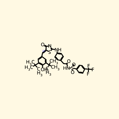 CC(C)(C)c1cc(/C=C2\SC(Nc3ccc(CC(=O)NS(=O)(=O)c4ccc(C(F)(F)F)cc4)cc3)=NC2=O)cc(C(C)(C)C)c1O